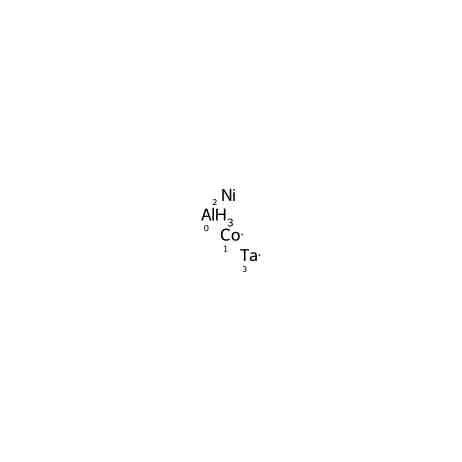 [AlH3].[Co].[Ni].[Ta]